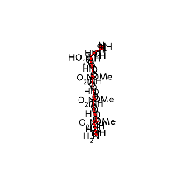 COc1cc(C(C)NC(=O)CNC(=O)CNC(=O)CN)c([N+](=O)[O-])cc1OCCCC(=O)NCCOCCOCC(=O)NC(C)c1cc(OC)c(OCCCC(=O)NCCOCCOCC(=O)NC(C)c2cc(OC)c(OCCCC(=O)NCCOCCOCC(=O)N[C@@H](CCCCNC(=O)CCCC[C@@H]3SC[C@@H]4NC(=O)N[C@@H]43)C(=O)O)cc2[N+](=O)[O-])cc1[N+](=O)[O-]